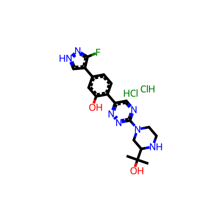 CC(C)(O)C1CN(c2ncc(-c3ccc(-c4c[nH]nc4F)cc3O)nn2)CCN1.Cl.Cl